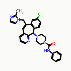 Cc1nccn1CC1=Cc2cccnc2C(N2CCN(C(=O)Nc3ccccc3)CC2)c2ccc(Cl)cc21